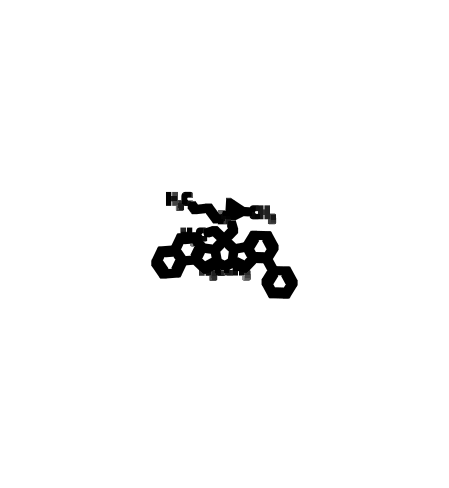 CCC[CH2][Zr]1([CH2]C(CC)(C2C(C)=Cc3c(-c4ccccc4)cccc32)C2C(C)=Cc3c2ccc2ccccc32)[CH2][CH]1C